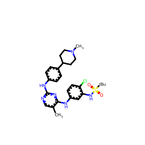 Cc1cnc(Nc2ccc(C3CCN(C)CC3)cc2)nc1Nc1ccc(Cl)c(NS(=O)(=O)C(C)(C)C)c1